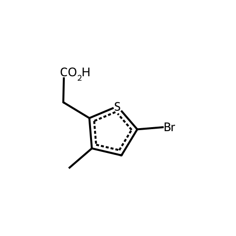 Cc1cc(Br)sc1CC(=O)O